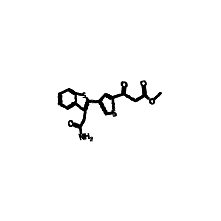 COC(=O)CC(=O)c1cc(-c2sc3ccccc3c2CC(N)=O)cs1